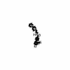 O=C(NCCCN1CCC(N2CCCCC2)CC1)c1ccc(-c2ccc(Cl)cc2C(F)(F)F)cc1